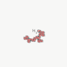 CC1C=CC=C(n2c3ccc(-c4ccc5c(c4)c4ccc(-c6ccc7c(c6)sc6ccc(-c8ccc9c(c8)c8ccccc8n9-c8cc9c%10c(cccc%10c8)-c8ccccc8-9)cc67)cc4n5-c4cc5c6c(cccc6c4)-c4ccccc4-5)cc3c3c4ccccc4c4ccccc4c32)C1